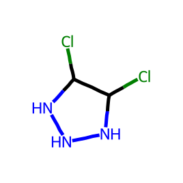 ClC1NNNC1Cl